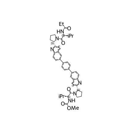 CCC(=O)N[C@H](C(=O)N1CCC[C@H]1c1nc2ccc(-c3ccc(-c4ccc5nc([C@@H]6CCCN6C(=O)[C@@H](NC(=O)OC)C(C)C)sc5c4)cc3)cc2s1)C(C)C